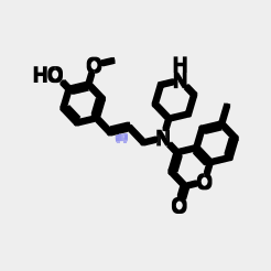 COc1cc(/C=C/CN(c2cc(=O)oc3ccc(C)cc23)C2CCNCC2)ccc1O